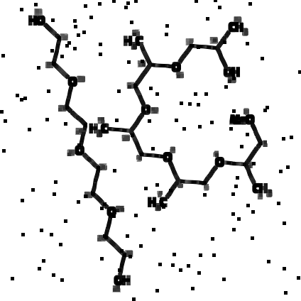 COCC(C)OCC(C)OCC(C)OCC(C)OCC(C)O.OCCOCCOCCOCCO